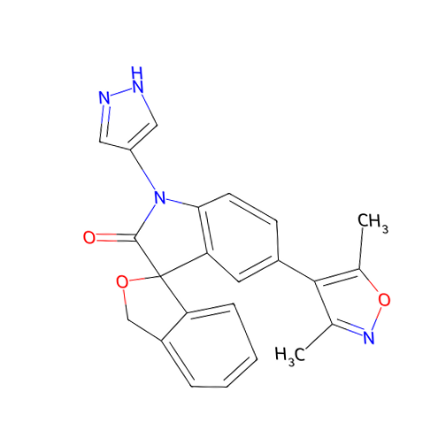 Cc1noc(C)c1-c1ccc2c(c1)C1(OCc3ccccc31)C(=O)N2c1cn[nH]c1